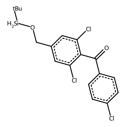 CC(C)(C)[SiH2]OCc1cc(Cl)c(C(=O)c2ccc(Cl)cc2)c(Cl)c1